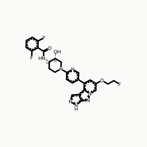 O=C(N[C@H]1CCN(c2ccc(-c3cc(OCCF)cn4nc5[nH]ncc5c34)cn2)C[C@H]1O)c1c(F)cccc1F